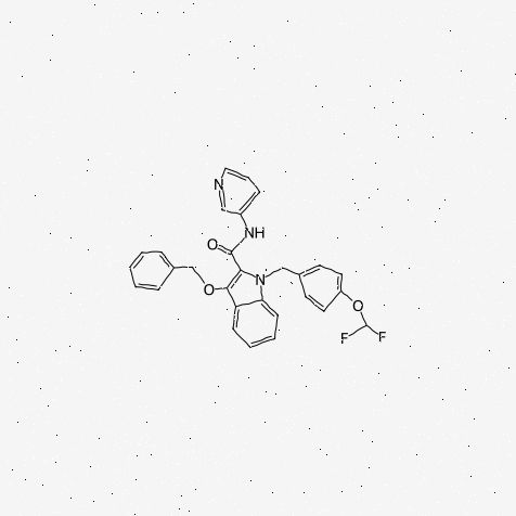 O=C(Nc1cccnc1)c1c(OCc2ccccc2)c2ccccc2n1Cc1ccc(OC(F)F)cc1